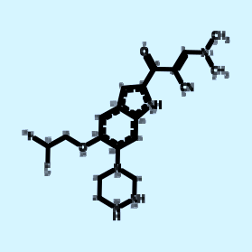 CN(C)/C=C(\C#N)C(=O)c1cc2cc(OCC(F)F)c(N3CCNNC3)cc2[nH]1